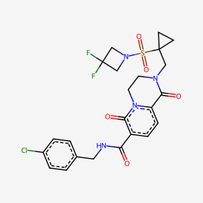 O=C(NCc1ccc(Cl)cc1)c1ccc2n(c1=O)CCN(CC1(S(=O)(=O)N3CC(F)(F)C3)CC1)C2=O